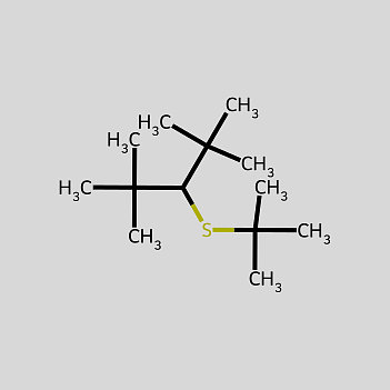 CC(C)(C)SC(C(C)(C)C)C(C)(C)C